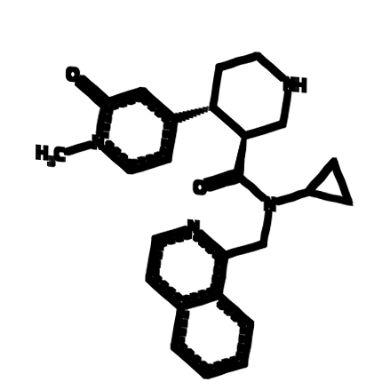 Cn1ccc([C@@H]2CCNC[C@H]2C(=O)N(Cc2nccc3ccccc23)C2CC2)cc1=O